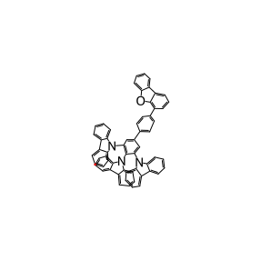 c1ccc2c(c1)oc1c(-c3ccc(-c4cc(-n5c6ccccc6c6ccccc65)c(-n5c6ccccc6c6ccccc65)c(-n5c6ccccc6c6ccccc65)c4)cc3)cccc12